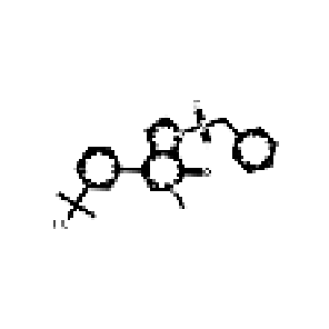 Cn1cc(-c2cccc(C(C)(C)O)c2)c2ccn(S(=O)(=O)Cc3ccccc3)c2c1=O